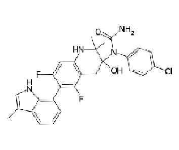 Cc1c[nH]c2c(-c3c(F)cc4c(c3F)CC(O)(N(C(N)=O)c3ccc(Cl)cc3)C(C)(C)N4)cccc12